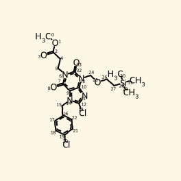 COC(=O)CCn1c(=O)c2c(nc(Cl)n2Cc2ccc(Cl)cc2)n(COCC[Si](C)(C)C)c1=O